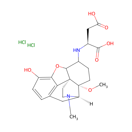 CO[C@@]12CCC(N[C@@H](CC(=O)O)C(=O)O)C3Oc4c(O)ccc5c4[C@@]31CCN(C)[C@@H]2C5.Cl.Cl